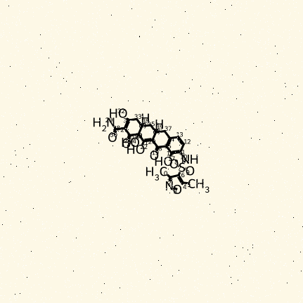 Cc1noc(C)c1S(=O)(=O)Nc1ccc2c(c1O)C(=O)C1=C(O)[C@]3(O)C(=O)C(C(N)=O)=C(O)C[C@@H]3C[C@@H]1C2